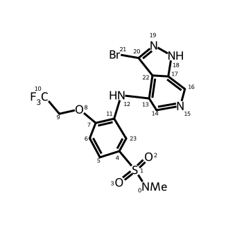 CNS(=O)(=O)c1ccc(OCC(F)(F)F)c(Nc2cncc3[nH]nc(Br)c23)c1